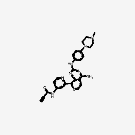 C#CC(=O)Nc1ccnc(-c2nccc3c(N)nc(Nc4ccc(N5CCN(C)CC5)cc4)nc23)c1